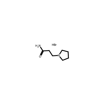 Br.NC(=O)CCN1CCCC1